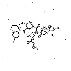 C=CC(=O)[C@@H]1CC[C@H]1CN1C[C@@]2(CCCc3cc(Cl)ccc32)COc2ccc(C(=O)NS(=O)(=O)CC(C)(C)[C@@H](C)C=C)cc21